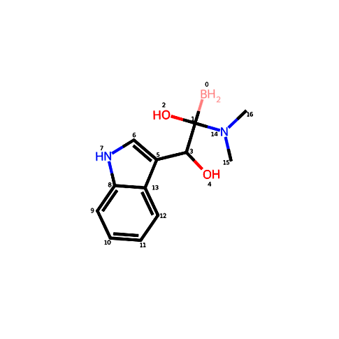 BC(O)(C(O)c1c[nH]c2ccccc12)N(C)C